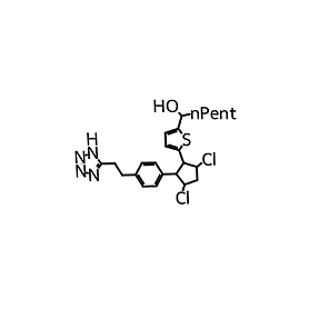 CCCCCC(O)c1ccc(C2C(Cl)CC(Cl)C2c2ccc(CCc3nnn[nH]3)cc2)s1